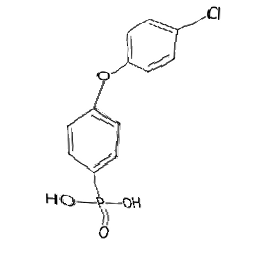 O=P(O)(O)c1ccc(Oc2ccc(Cl)cc2)cc1